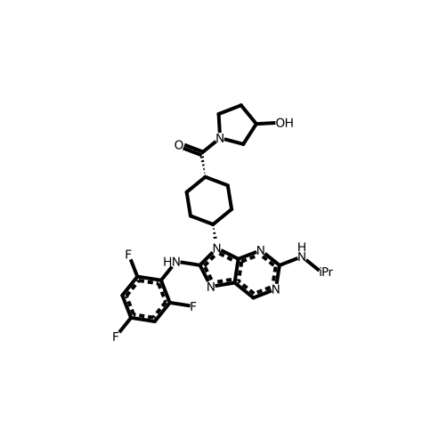 CC(C)Nc1ncc2nc(Nc3c(F)cc(F)cc3F)n([C@H]3CC[C@@H](C(=O)N4CCC(O)C4)CC3)c2n1